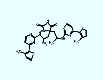 Cc1ccsc1-c1ccnc(NC(C)CC2(CC(C)Nc3nccc(-c4sccc4C)n3)NC(=O)NC2=O)n1